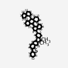 CC1(C)c2ccc(-c3ccc(-c4c5ccccc5c(-c5cccc6ccccc56)c5ccccc45)c4ccccc34)cc2-c2cc3ccc4c5ccccc5sc4c3cc21